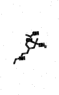 CCNCCC(CO)CC(C)(N)CC(C)O